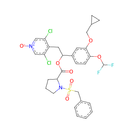 O=C(OC(Cc1c(Cl)c[n+]([O-])cc1Cl)c1ccc(OC(F)F)c(OCC2CC2)c1)C1CCCN1S(=O)(=O)Cc1ccccc1